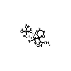 CC(O)C1(C(F)(F)F)OCCO1.CS(=O)(=O)O